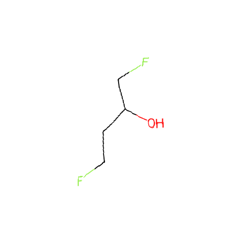 OC(CF)CCF